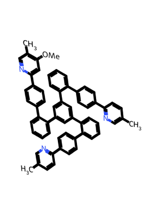 COc1cc(-c2ccc(-c3ccccc3-c3cc(-c4ccccc4-c4ccc(-c5ccc(C)cn5)cc4)cc(-c4ccccc4-c4ccc(-c5ccc(C)cn5)cc4)c3)cc2)ncc1C